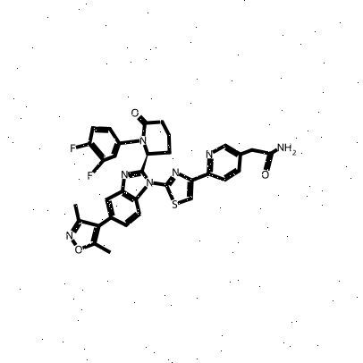 Cc1noc(C)c1-c1ccc2c(c1)nc([C@@H]1CCCC(=O)N1c1ccc(F)c(F)c1)n2-c1nc(-c2ccc(CC(N)=O)cn2)cs1